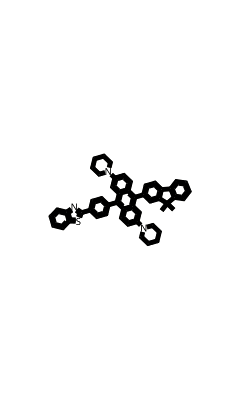 CC1(C)c2ccccc2-c2ccc(-c3c4ccc(N5CCCCC5)cc4c(-c4ccc(-c5nc6ccccc6s5)cc4)c4ccc(N5CCCCC5)cc34)cc21